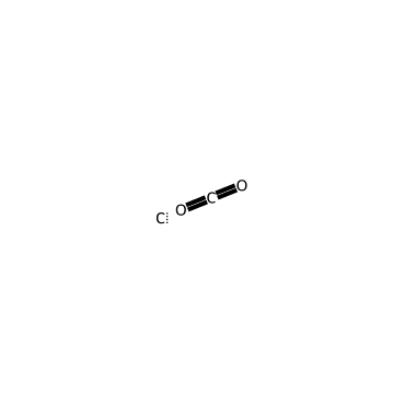 O=C=O.[C]